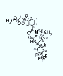 COC(=O)CS(=O)(=O)c1cccc(C(=O)N2C[C@H](C)C[C@@H]2C(=O)N[C@@H](c2cc(F)c(C(F)(F)F)cc2F)C2CC2)c1